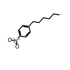 [CH2]CCCCCc1ccc([N+](=O)[O-])cc1